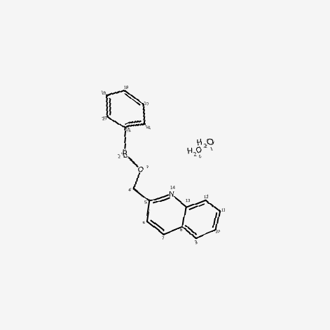 O.O.[B](OCc1ccc2ccccc2n1)c1ccccc1